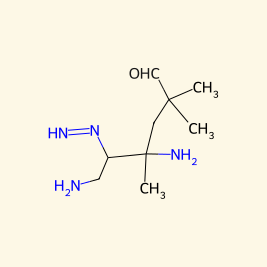 CC(C)(C=O)CC(C)(N)C(CN)N=N